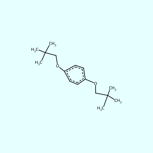 CC(C)(C)COc1ccc(OCC(C)(C)C)cc1